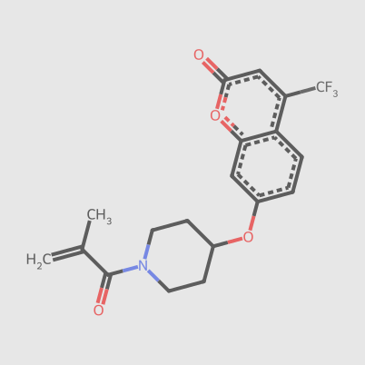 C=C(C)C(=O)N1CCC(Oc2ccc3c(C(F)(F)F)cc(=O)oc3c2)CC1